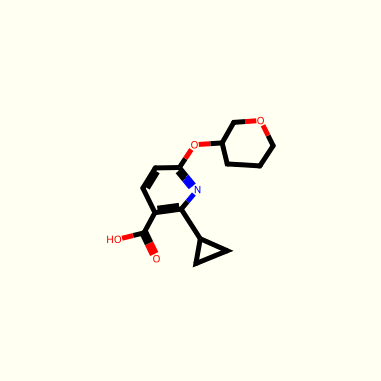 O=C(O)c1ccc(OC2CCCOC2)nc1C1CC1